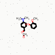 C=O.CN(C)c1ccc(C=O)cc1.COc1ccccc1O